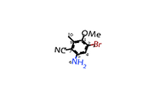 COc1c(Br)cc(N)c(C#N)c1C